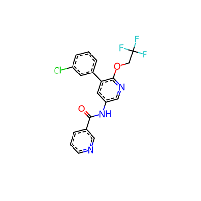 O=C(Nc1cnc(OCC(F)(F)F)c(-c2cccc(Cl)c2)c1)c1cccnc1